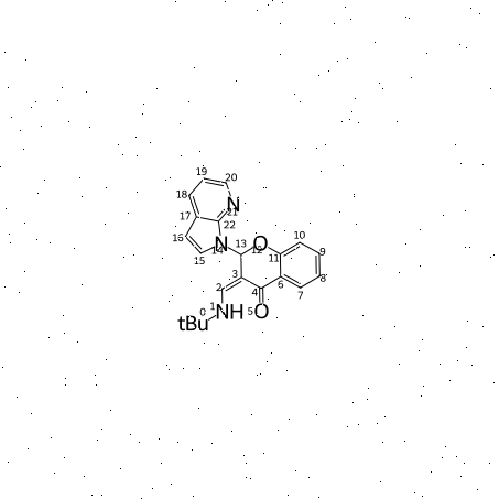 CC(C)(C)N/C=C1\C(=O)c2ccccc2OC1n1ccc2cccnc21